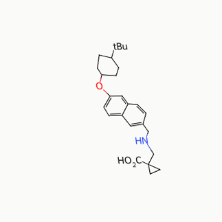 CC(C)(C)C1CCC(Oc2ccc3cc(CNCC4(C(=O)O)CC4)ccc3c2)CC1